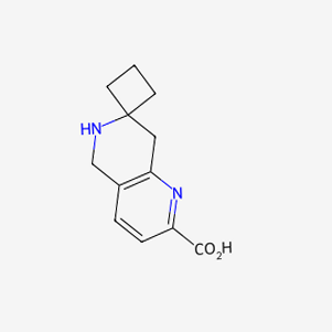 O=C(O)c1ccc2c(n1)CC1(CCC1)NC2